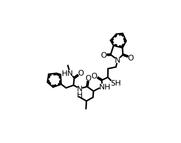 CNC(=O)C(Cc1ccccc1)NC(=O)C(CC(C)C)NC(=O)C(S)CCN1C(=O)c2ccccc2C1=O